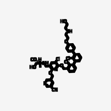 CC(CO)(NCc1cc(Cl)c(OCc2cccc(-c3cccc(-c4ccc(OCCNCCO)cc4)c3Cl)c2Cl)nc1OCc1cncc(C#N)c1)C(=O)O